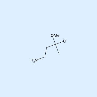 COC(C)(Cl)CCN